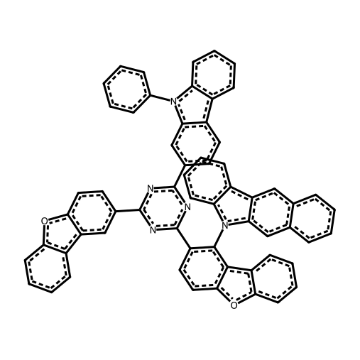 c1ccc(-n2c3ccccc3c3ccc(-c4nc(-c5ccc6oc7ccccc7c6c5)nc(-c5ccc6oc7ccccc7c6c5-n5c6ccccc6c6cc7ccccc7cc65)n4)cc32)cc1